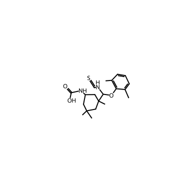 Cc1cccc(C)c1OC(NC=S)C1(C)CC(NC(=O)O)CC(C)(C)C1